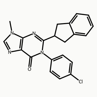 Cn1cnc2c(=O)n(-c3ccc(Cl)cc3)c(C3Cc4ccccc4C3)nc21